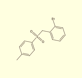 CCc1ccccc1CS(=O)(=O)c1ccc(C)cc1